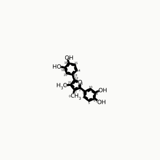 Cc1c(-c2ccc(O)c(O)c2)oc(-c2ccc(O)c(O)c2)c1C